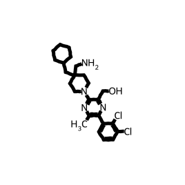 Cc1nc(N2CCC(CN)(CC3CCCCC3)CC2)c(CO)nc1-c1cccc(Cl)c1Cl